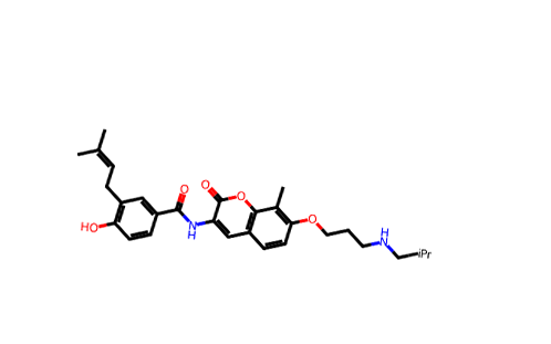 CC(C)=CCc1cc(C(=O)Nc2cc3ccc(OCCCNCC(C)C)c(C)c3oc2=O)ccc1O